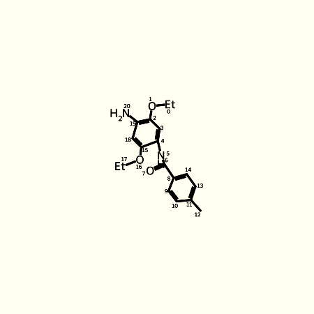 CCOc1cc(NC(=O)c2ccc(C)cc2)c(OCC)cc1N